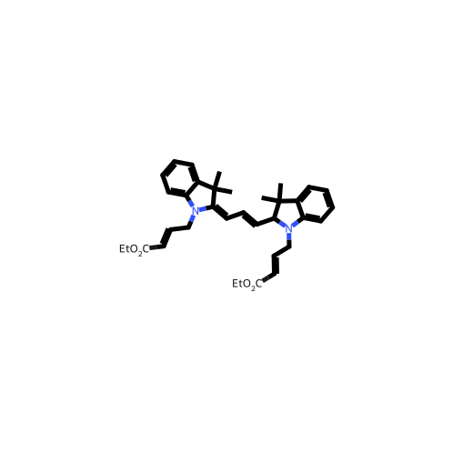 CCOC(=O)/C=C/CN1/C(=C/C=C/C2N(C/C=C/C(=O)OCC)c3ccccc3C2(C)C)C(C)(C)c2ccccc21